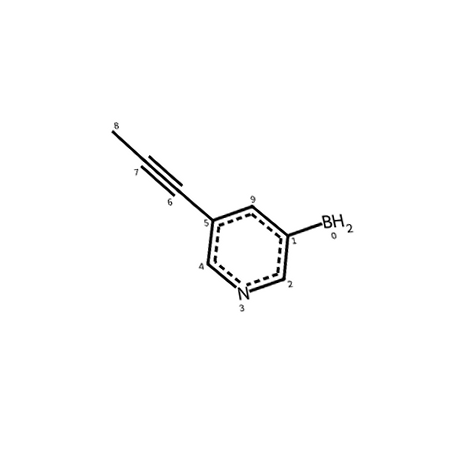 Bc1cncc(C#CC)c1